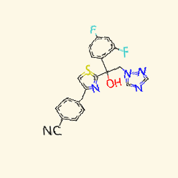 N#Cc1ccc(-c2csc(C(O)(Cn3cncn3)c3ccc(F)cc3F)n2)cc1